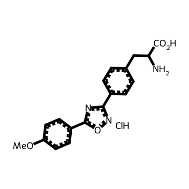 COc1ccc(-c2nc(-c3ccc(CC(N)C(=O)O)cc3)no2)cc1.Cl